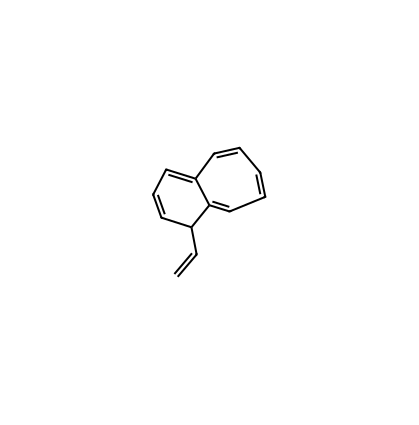 C=CC1C=CC=C2C=CC=CC=C21